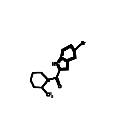 O=C(c1cc2cc(Br)ccc2[nH]1)N1CCCCC1C(F)(F)F